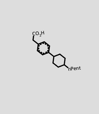 CCCCCC1CCC(c2ccc(CC(=O)O)cc2)CC1